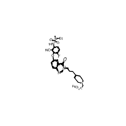 CCN(C)S(=O)(=O)Nc1ccc(F)c(Oc2ccc3ncn(CCCC4CCN(CC(=O)O)CC4)c(=O)c3c2)c1C#N